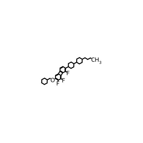 CCCCC1CCC(C2CCC(c3ccc4c(c3F)-c3c-4cc(OCC4CCCCC4)c(F)c3F)CC2)CC1